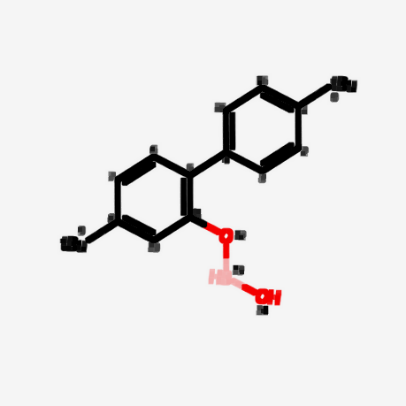 CC(C)(C)c1ccc(-c2ccc(C(C)(C)C)cc2OBO)cc1